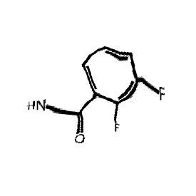 [NH]C(=O)c1cccc(F)c1F